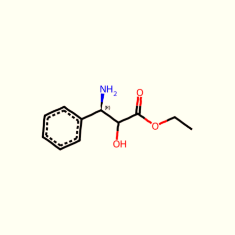 CCOC(=O)C(O)[C@H](N)c1ccccc1